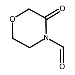 O=CN1CCOCC1=O